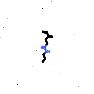 C=CC(=C)CCNNCCC